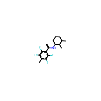 C=C(NC1CCCC(C)C1C)c1c(F)c(F)c(C)c(F)c1F